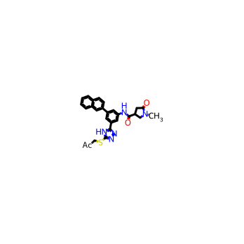 CC(=O)CSc1nnc(-c2cc(NC(=O)C3CC(=O)N(C)C3)cc(-c3ccc4ccccc4c3)c2)[nH]1